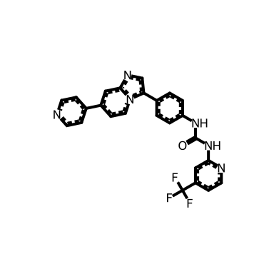 O=C(Nc1ccc(-c2cnc3cc(-c4ccncc4)ccn23)cc1)Nc1cc(C(F)(F)F)ccn1